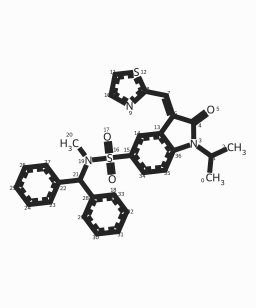 CC(C)N1C(=O)/C(=C/c2nccs2)c2cc(S(=O)(=O)N(C)C(c3ccccc3)c3ccccc3)ccc21